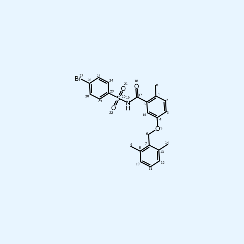 Cc1ccc(OCc2c(C)cccc2C)cc1C(=O)NS(=O)(=O)c1ccc(Br)cc1